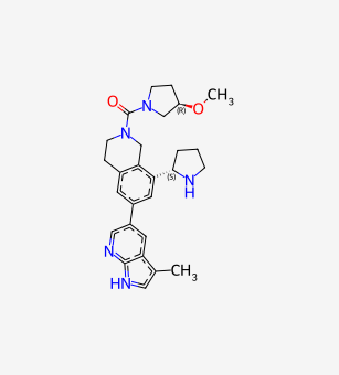 CO[C@@H]1CCN(C(=O)N2CCc3cc(-c4cnc5[nH]cc(C)c5c4)cc([C@@H]4CCCN4)c3C2)C1